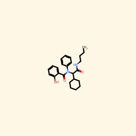 CCCCNC(=O)C(C1CCCCC1)N(C(=O)c1ccccc1O)c1ccccc1